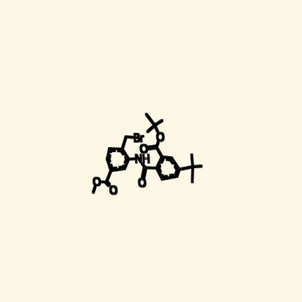 COC(=O)c1ccc(CBr)c(NC(=O)c2ccc(C(C)(C)C)cc2C(=O)OC(C)(C)C)c1